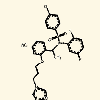 CC(c1ccccc1OCCCn1cnnc1)N(c1cc(F)ccc1F)S(=O)(=O)c1ccc(Cl)cc1.Cl